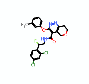 O=C(NCC(F)c1ccc(Cl)cc1Cl)c1c(Oc2cccc(C(F)(F)F)c2)nnc2c1COCC2